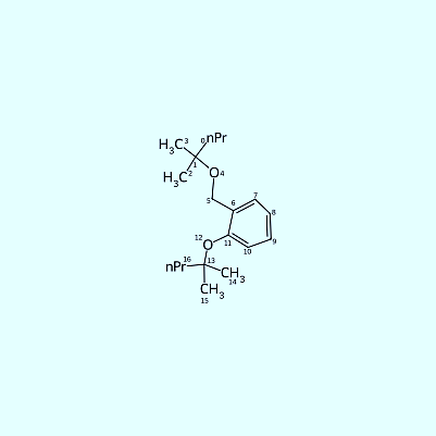 CCCC(C)(C)OCc1ccccc1OC(C)(C)CCC